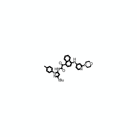 Cc1ccc(-n2nc(C(C)(C)C)cc2NC(=O)C(=O)c2ccc(Nc3ccnc(N4CCOCC4)c3)c3ccccc23)cc1